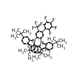 CC(C)(C)c1ccc2c3ccc(C(C)(C)C)cc3n(-c3cc(-c4c(F)c(F)c(F)c(F)c4F)c(C(F)(F)F)cc3-n3c4cc(C(C)(C)C)ccc4c4ccc(C(C)(C)C)cc43)c2c1